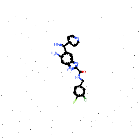 N=C(c1ccncc1)c1cc2nc(C(=O)NCc3ccc(F)c(Cl)c3)[nH]c2cc1N